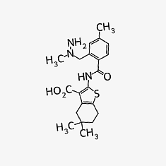 Cc1ccc(C(=O)Nc2sc3c(c2C(=O)O)CC(C)(C)CC3)c(CN(C)N)c1